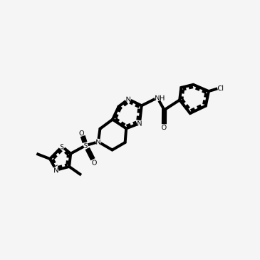 Cc1nc(C)c(S(=O)(=O)N2CCc3nc(NC(=O)c4ccc(Cl)cc4)ncc3C2)s1